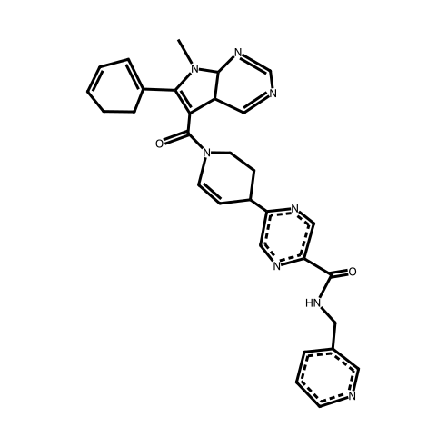 CN1C(C2=CC=CCC2)=C(C(=O)N2C=CC(c3cnc(C(=O)NCc4cccnc4)cn3)CC2)C2C=NC=NC21